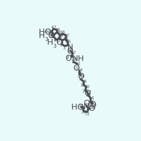 CC12CC/C(=N\OCC(=O)NCCOCCOCCCCCOCCC(=O)ON3C(=O)CCC3O)C=C1CCC1C2CCC2(C)C(O)CCC12